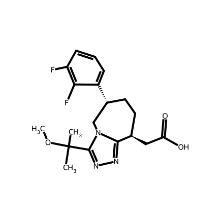 COC(C)(C)c1nnc2n1C[C@H](c1cccc(F)c1F)CC[C@H]2CC(=O)O